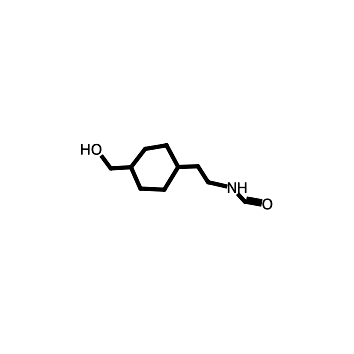 O=CNCCC1CCC(CO)CC1